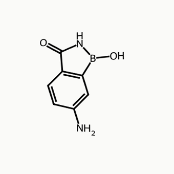 Nc1ccc2c(c1)B(O)NC2=O